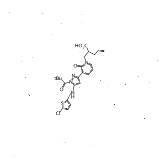 C=CCC(Cn1cccc(-c2cc(NCc3ccc(Cl)s3)n(C(=O)C(C)(C)C)n2)c1=O)C(=O)O